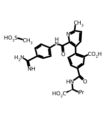 CS(=O)(=O)O.Cc1ccc(-c2ccc(C(=O)N[C@H](C(=O)O)C(C)C)cc2C(=O)O)c(C(=O)Nc2ccc(C(=N)N)cc2)n1